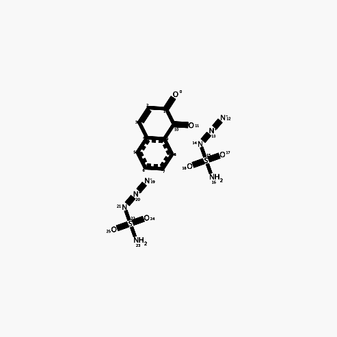 O=C1C=Cc2ccccc2C1=O.[N-]=[N+]=NS(N)(=O)=O.[N-]=[N+]=NS(N)(=O)=O